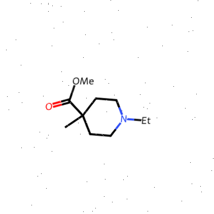 CCN1CCC(C)(C(=O)OC)CC1